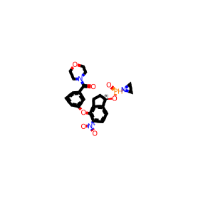 O=C(c1cccc(Oc2c([N+](=O)[O-])ccc3c2CC[C@H]3O[PH](=O)N2CC2)c1)N1CCOCC1